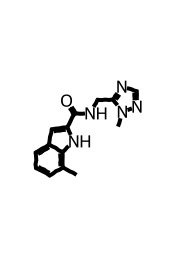 Cc1cccc2cc(C(=O)NCc3ncnn3C)[nH]c12